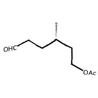 CC(=O)OCC[C@@H](C)CCC=O